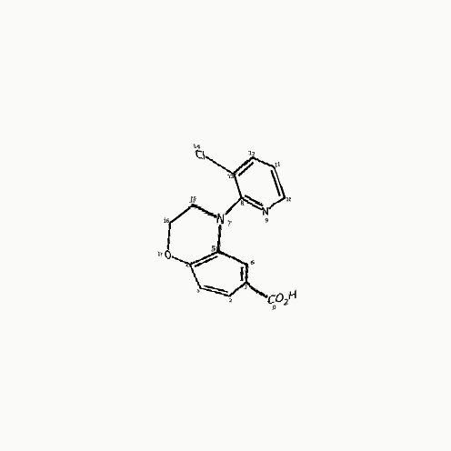 O=C(O)c1ccc2c(c1)N(c1ncccc1Cl)CCO2